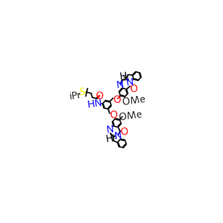 COc1cc2c(cc1OCc1cc(COc3cc4c(cc3OC)C(=O)N3c5ccccc5C[C@H]3C=N4)cc(NC(=O)CCC(C)(C)SC(C)C)c1)N=C[C@@H]1Cc3ccccc3N1C2=O